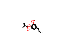 [CH2]CCc1ccc(OC(=O)C(=C)C)c(OC)c1